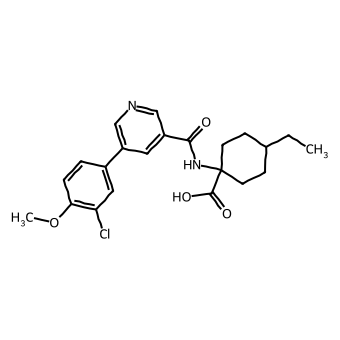 CCC1CCC(NC(=O)c2cncc(-c3ccc(OC)c(Cl)c3)c2)(C(=O)O)CC1